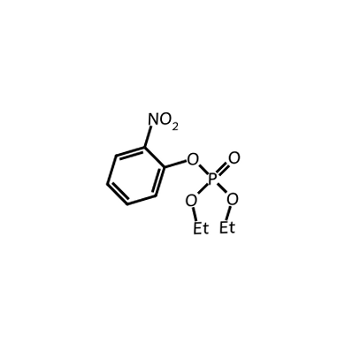 CCOP(=O)(OCC)Oc1ccccc1[N+](=O)[O-]